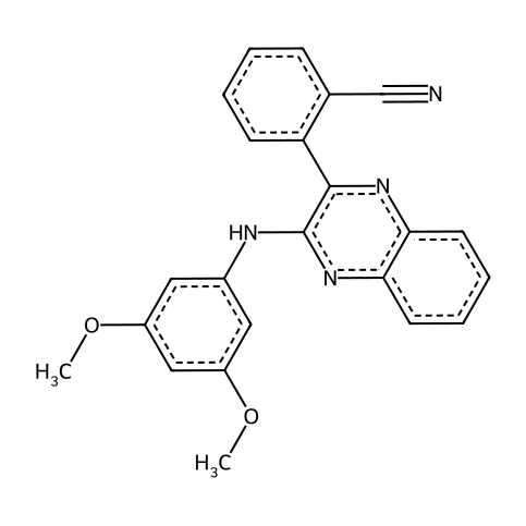 COc1cc(Nc2nc3ccccc3nc2-c2ccccc2C#N)cc(OC)c1